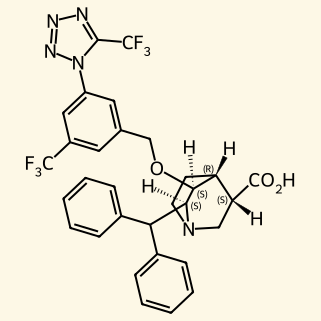 O=C(O)[C@@H]1CN2CC[C@H]1[C@H](OCc1cc(-n3nnnc3C(F)(F)F)cc(C(F)(F)F)c1)[C@@H]2C(c1ccccc1)c1ccccc1